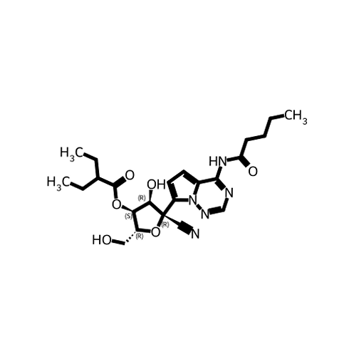 CCCCC(=O)Nc1ncnn2c([C@]3(C#N)O[C@H](CO)[C@@H](OC(=O)C(CC)CC)[C@H]3O)ccc12